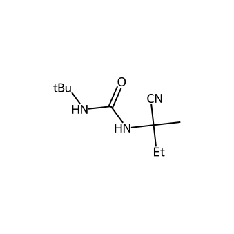 CCC(C)(C#N)NC(=O)NC(C)(C)C